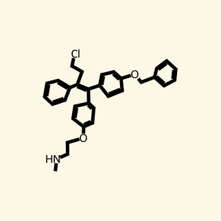 CNCCOc1ccc(C(=C(CCCl)c2ccccc2)c2ccc(OCc3ccccc3)cc2)cc1